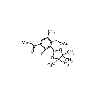 COC(=O)c1cc(C)c(COC(C)=O)c(B2OC(C)(C)C(C)(C)O2)c1F